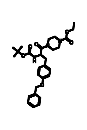 CCOC(=O)N1CCN(C(=O)C(Cc2ccc(OCc3ccccc3)cc2)NC(=O)OC(C)(C)C)CC1